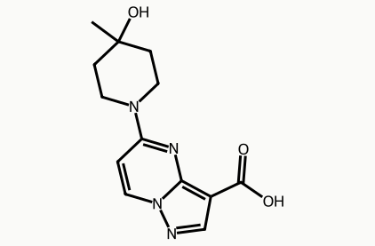 CC1(O)CCN(c2ccn3ncc(C(=O)O)c3n2)CC1